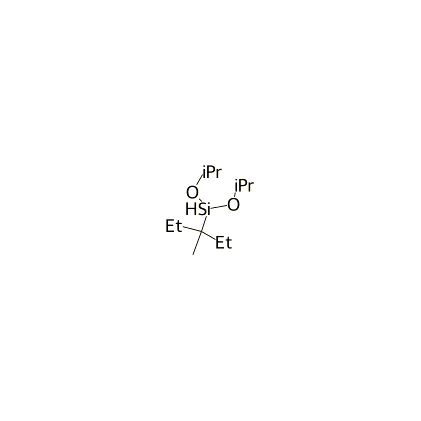 CCC(C)(CC)[SiH](OC(C)C)OC(C)C